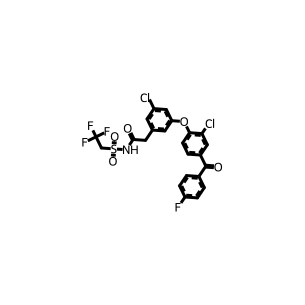 O=C(Cc1cc(Cl)cc(Oc2ccc(C(=O)c3ccc(F)cc3)cc2Cl)c1)NS(=O)(=O)CC(F)(F)F